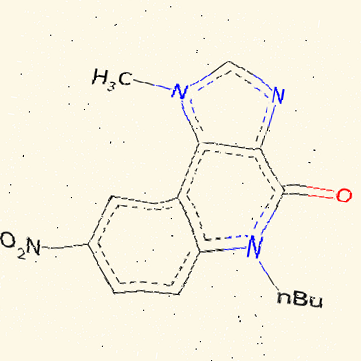 CCCCn1c(=O)c2ncn(C)c2c2cc([N+](=O)[O-])ccc21